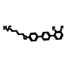 CCCCCOc1ccc(-c2ccc(-c3cccc(F)c3F)cc2)cc1